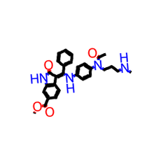 CNCCCN(C(C)=O)c1ccc(NC(=C2C(=O)Nc3cc(C(=O)OC)ccc32)c2ccccc2)cc1